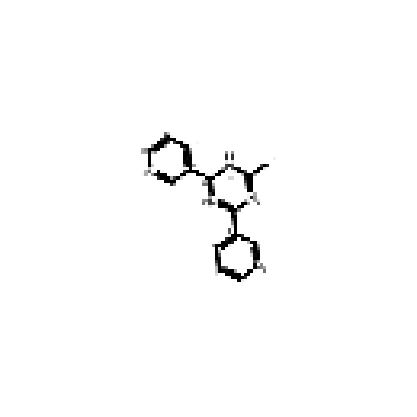 IC1=NC(c2cccnc2)=NC(c2cccnc2)N1